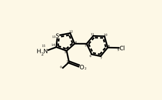 CC(=O)c1c(-c2ccc(Cl)cc2)csc1N